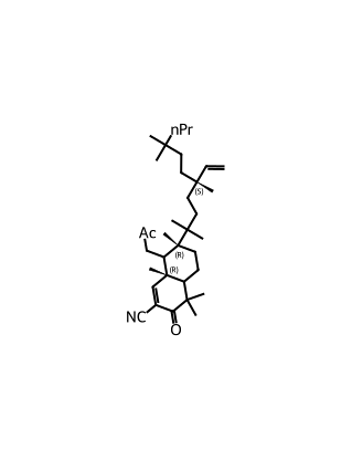 C=C[C@@](C)(CCC(C)(C)CCC)CCC(C)(C)[C@]1(C)CCC2C(C)(C)C(=O)C(C#N)=C[C@]2(C)C1CC(C)=O